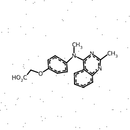 Cc1nc(N(C)c2ccc(OCC(=O)O)cc2)c2ccccc2n1